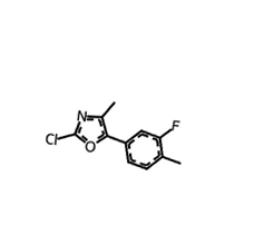 Cc1ccc(-c2oc(Cl)nc2C)cc1F